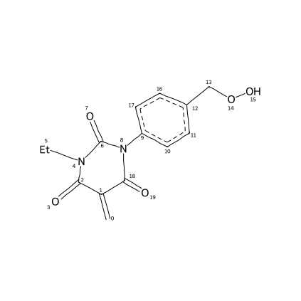 C=C1C(=O)N(CC)C(=O)N(c2ccc(COO)cc2)C1=O